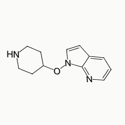 c1cnc2c(c1)ccn2OC1CCNCC1